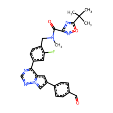 CN(Cc1ccc(-c2ncnn3cc(-c4ccc(C=O)cc4)cc23)cc1F)C(=O)c1noc(C(C)(C)C)n1